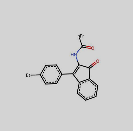 CCCC(=O)NC1=C(c2ccc(CC)cc2)c2ccccc2C1=O